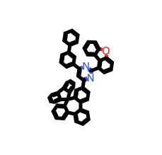 c1ccc(-c2cccc(-c3cc(-c4ccc5c(c4)C4(c6ccccc6-c6ccccc6-5)c5ccccc5-c5ccccc54)nc(-c4cccc5oc6ccccc6c45)n3)c2)cc1